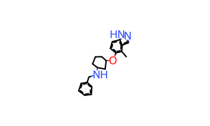 Cc1c(O[C@@H]2CCC[C@H](NCc3ccccc3)C2)ccc2[nH]ncc12